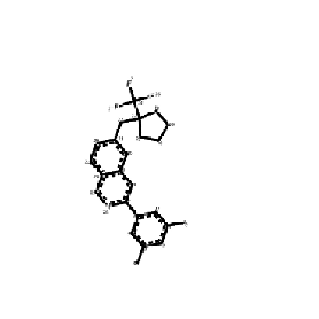 Cc1cc(C)cc(-c2cc3cc(CC4(C(F)(F)F)CCCC4)ccc3cn2)c1